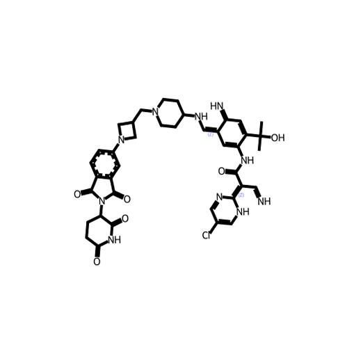 CC(C)(O)C1=CC(=N)/C(=C\NC2CCN(CC3CN(c4ccc5c(c4)C(=O)N(C4CCC(=O)NC4=O)C5=O)C3)CC2)C=C1NC(=O)/C(C=N)=C1\N=CC(Cl)=CN1